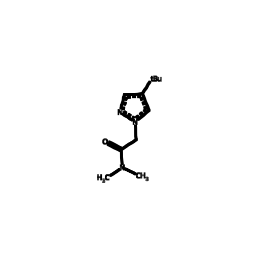 CN(C)C(=O)Cn1cc(C(C)(C)C)cn1